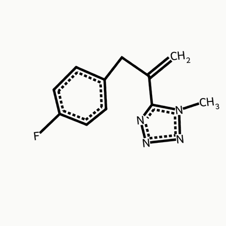 C=C(Cc1ccc(F)cc1)c1nnnn1C